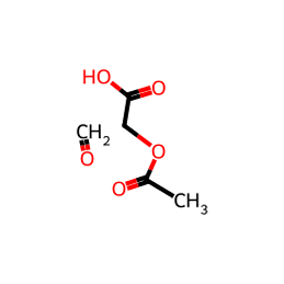 C=O.CC(=O)OCC(=O)O